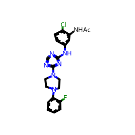 CC(=O)Nc1cc(Nc2ncnc(N3CCN(c4ccccc4F)CC3)n2)ccc1Cl